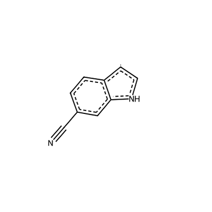 N#Cc1ccc2[c]c[nH]c2c1